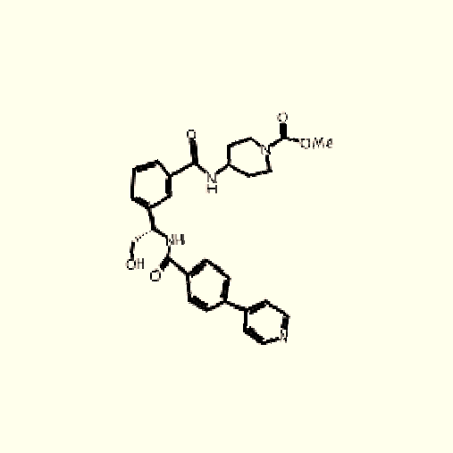 COC(=O)N1CCC(NC(=O)c2cccc([C@@H](CO)NC(=O)c3ccc(-c4ccncc4)cc3)c2)CC1